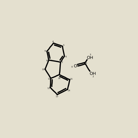 O=C(O)O.c1ccc2c(c1)Cc1ccccc1-2